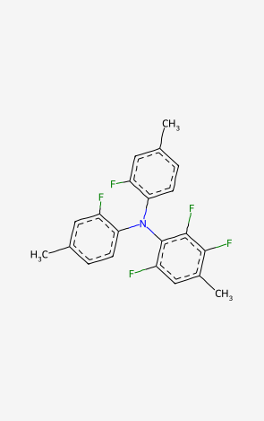 Cc1ccc(N(c2ccc(C)cc2F)c2c(F)cc(C)c(F)c2F)c(F)c1